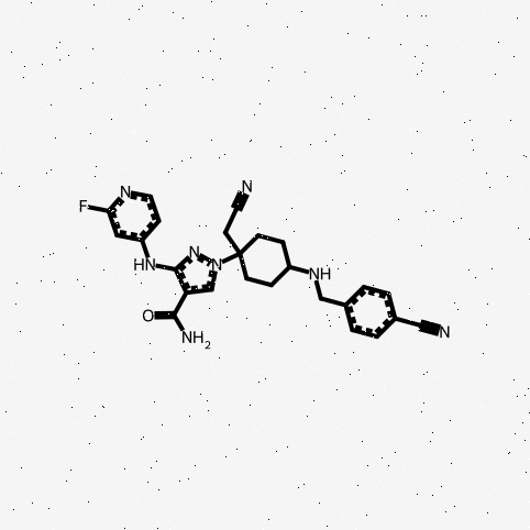 N#CCC1(n2cc(C(N)=O)c(Nc3ccnc(F)c3)n2)CCC(NCc2ccc(C#N)cc2)CC1